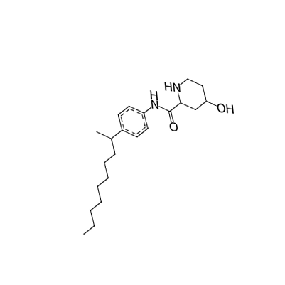 CCCCCCCCC(C)c1ccc(NC(=O)C2CC(O)CCN2)cc1